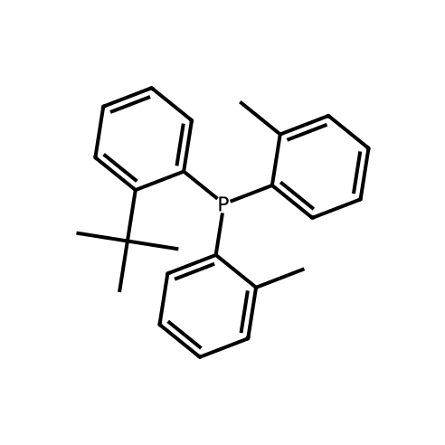 Cc1ccccc1P(c1ccccc1C)c1ccccc1C(C)(C)C